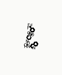 O=C(Nc1cnc2ccccc2c1)ON=C1CCN(S(=O)(=O)c2cccc(C(F)(F)F)c2)CC1